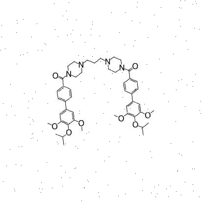 COc1cc(-c2ccc(C(=O)N3CCN(CCCN4CCN(C(=O)c5ccc(-c6cc(OC)c(OC(C)C)c(OC)c6)cc5)CC4)CC3)cc2)cc(OC)c1OC(C)C